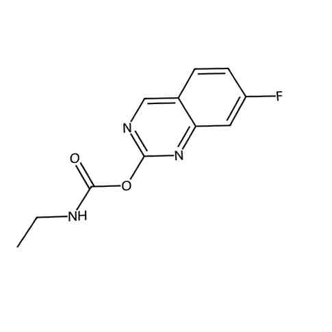 CCNC(=O)Oc1ncc2ccc(F)cc2n1